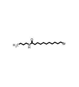 CCCCNC(=O)CCCCCCCCCCBr